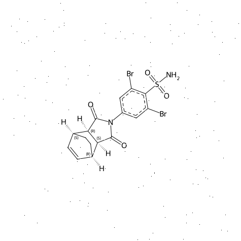 NS(=O)(=O)c1c(Br)cc(N2C(=O)[C@@H]3[C@H](C2=O)[C@@H]2C=C[C@H]3CC2)cc1Br